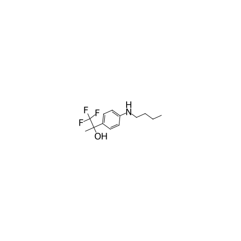 CCCCNc1ccc(C(C)(O)C(F)(F)F)cc1